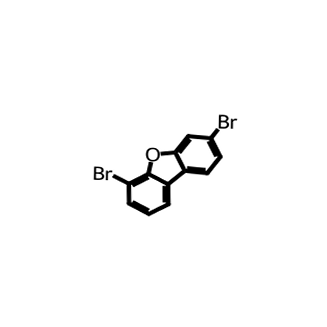 Brc1ccc2c(c1)oc1c(Br)cccc12